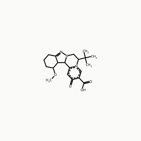 COC1CCCC2=NN3CC(C(C)(C)C)n4cc(C(=O)O)c(=O)cc4C3C21